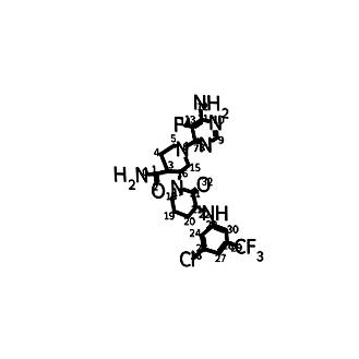 NC(=O)C1CCN(c2ncnc(N)c2F)C[C@H]1N1CCC[C@H](Nc2cc(Cl)cc(C(F)(F)F)c2)C1=O